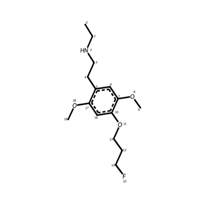 CCNCCc1cc(OC)c(OCCCF)cc1OC